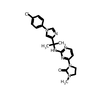 CN1CCN(c2ccnc(NC(C)(C)c3cn(-c4ccc(Cl)cc4)cn3)n2)C1=O